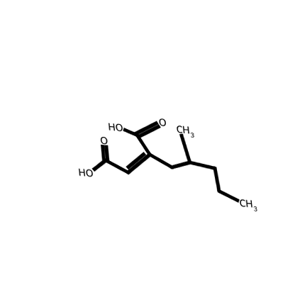 CCCC(C)CC(=CC(=O)O)C(=O)O